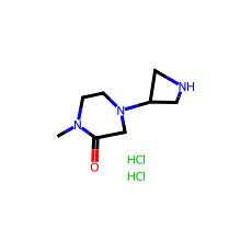 CN1CCN(C2CNC2)CC1=O.Cl.Cl